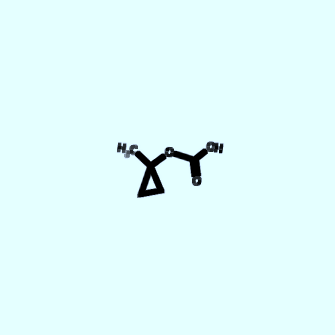 CC1(OC(=O)O)CC1